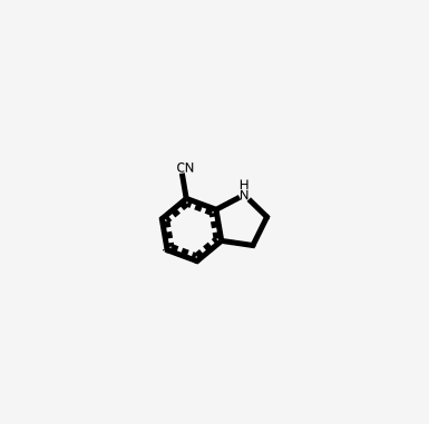 N#Cc1c[c]cc2c1NCC2